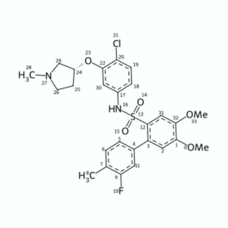 COc1cc(-c2ccc(C)c(F)c2)c(S(=O)(=O)Nc2ccc(Cl)c(O[C@@H]3CCN(C)C3)c2)cc1OC